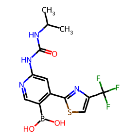 CC(C)NC(=O)Nc1cc(-c2nc(C(F)(F)F)cs2)c(B(O)O)cn1